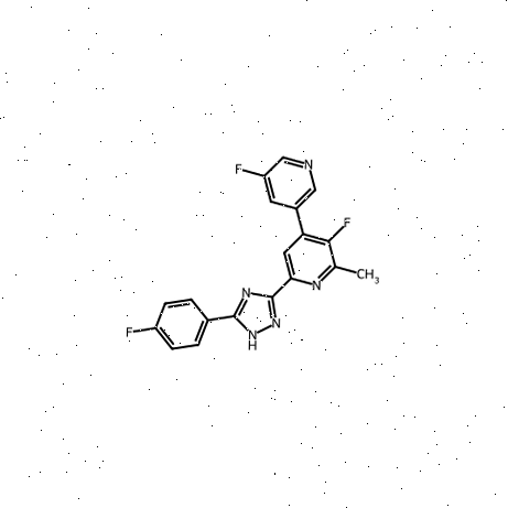 Cc1nc(-c2n[nH]c(-c3ccc(F)cc3)n2)cc(-c2cncc(F)c2)c1F